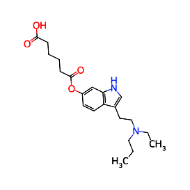 CCCN(CC)CCc1c[nH]c2cc(OC(=O)CCCCC(=O)O)ccc12